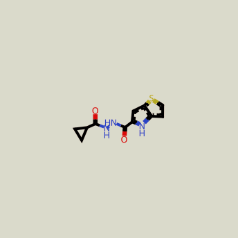 O=C(NNC(=O)C1CC1)c1cc2sccc2[nH]1